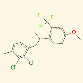 COc1ccc(C(C)Cc2ccc(C)c(Cl)c2Cl)c(C(F)(F)F)c1